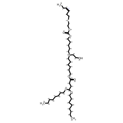 CC/C=C\CCCCCOC(=O)OCCCCCN(CCO)CCCCCCOC(=O)CCC(OCCCCCCCC)OCCCCCCCC